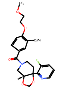 COc1cc(C(=O)N2CC[C@]3(c4ncccc4F)OCO[C@@H]3C2)ccc1OCCOC(F)(F)F